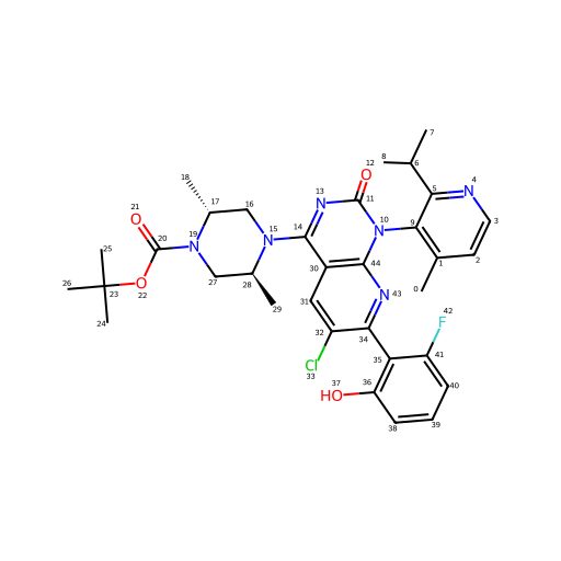 Cc1ccnc(C(C)C)c1-n1c(=O)nc(N2C[C@@H](C)N(C(=O)OC(C)(C)C)C[C@@H]2C)c2cc(Cl)c(-c3c(O)cccc3F)nc21